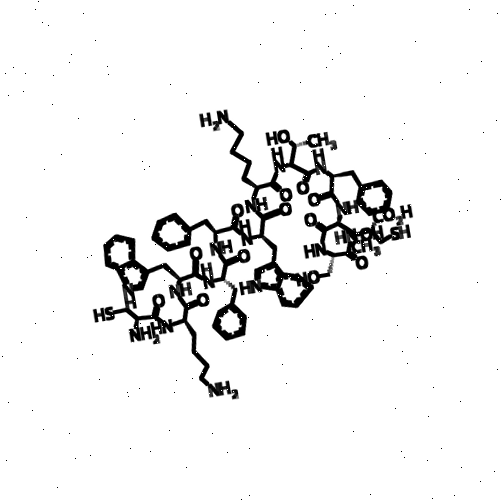 C[C@@H](O)[C@H](NC(=O)[C@H](Cc1ccccc1)NC(=O)[C@@H](NC(=O)[C@H](CCCCN)NC(=O)[C@@H](Cc1c[nH]c2ccccc12)NC(=O)[C@H](Cc1ccccc1)NC(=O)[C@H](Cc1ccccc1)NC(=O)[C@H](Cc1c[nH]c2ccccc12)NC(=O)[C@@H](CCCCN)NC(=O)[C@@H](N)CS)[C@@H](C)O)C(=O)N[C@@H](CO)C(=O)N[C@@H](CS)C(=O)O